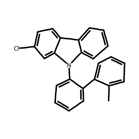 Cc1ccccc1-c1ccccc1-n1c2ccccc2c2ccc(Cl)cc21